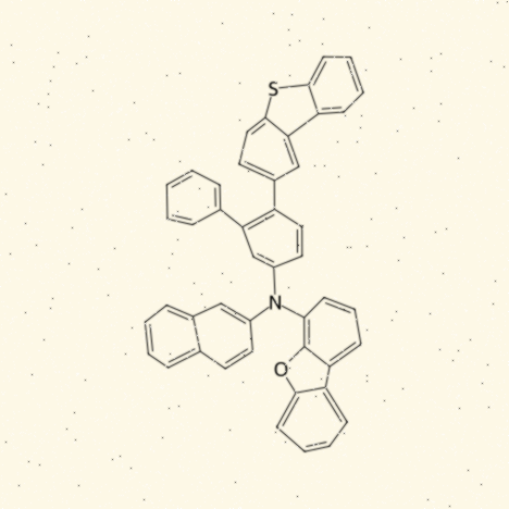 c1ccc(-c2cc(N(c3ccc4ccccc4c3)c3cccc4c3oc3ccccc34)ccc2-c2ccc3sc4ccccc4c3c2)cc1